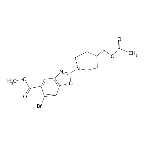 COC(=O)c1cc2nc(N3CCC(COC(C)=O)CC3)oc2cc1Br